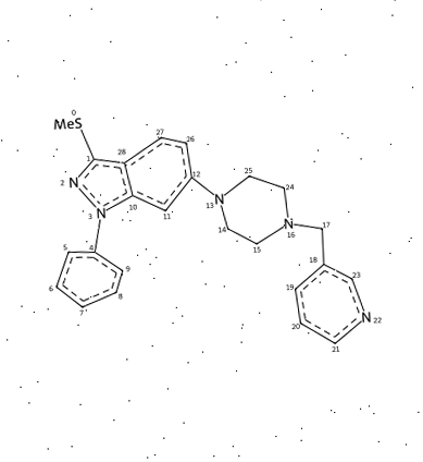 CSc1nn(-c2ccccc2)c2cc(N3CCN(Cc4cccnc4)CC3)ccc12